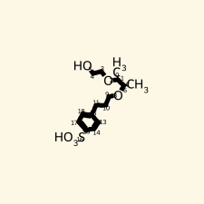 C[C@@H](OCCO)[C@@H](C)OCCCc1ccc(S(=O)(=O)O)cc1